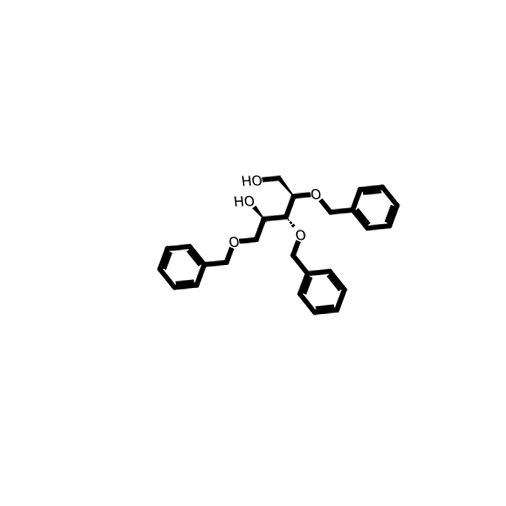 OC[C@@H](OCc1ccccc1)[C@H](OCc1ccccc1)[C@H](O)COCc1ccccc1